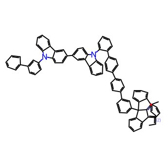 C/C=C\C=C(/C)c1ccccc1C1(c2cccc(-c3ccc(-c4ccc(-c5ccccc5-n5c6ccccc6c6cc(-c7ccc8c(c7)c7ccccc7n8-c7cccc(-c8ccccc8)c7)ccc65)cc4)cc3)c2)c2ccccc2-c2ccccc21